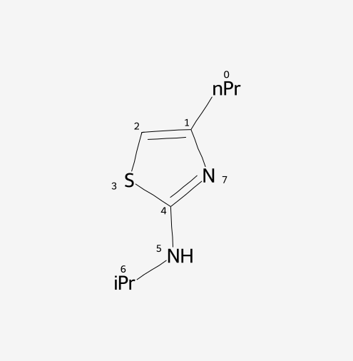 CCCc1csc(NC(C)C)n1